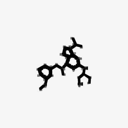 CC[C@@H](CO)Nc1nc(N(C)Cc2cccc(OC)c2)c2ncn(C(C)C)c2n1